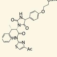 COCCOc1ccc(C2NC(=O)N([C@H](C(=O)Nc3nc(C(C)=O)cs3)[C@@H](C)c3ccccc3)C2=O)cc1